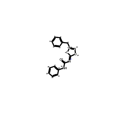 O=C(/N=c1\[cH-][n+](Cc2ccccc2)no1)Nc1ccccc1